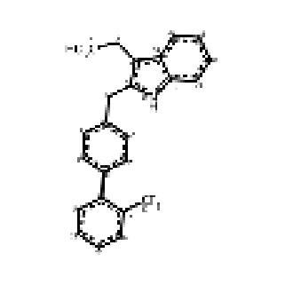 O=C(O)Cc1c(Cc2ccc(-c3ccccc3C(F)(F)F)cc2)[nH]c2ccccc12